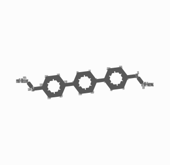 CCCCCCSc1ccc(-c2ccc(-c3ccc(SCCCCCC)cc3)cc2)cc1